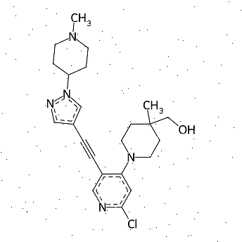 CN1CCC(n2cc(C#Cc3cnc(Cl)cc3N3CCC(C)(CO)CC3)cn2)CC1